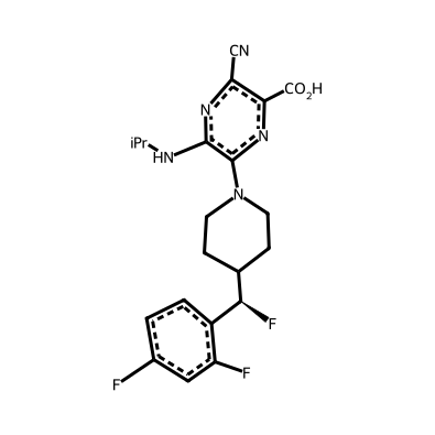 CC(C)Nc1nc(C#N)c(C(=O)O)nc1N1CCC([C@@H](F)c2ccc(F)cc2F)CC1